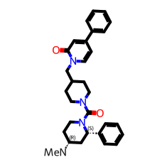 CN[C@@H]1CCN(C(=O)N2CCC(Cn3ccc(-c4ccccc4)cc3=O)CC2)[C@H](c2ccccc2)C1